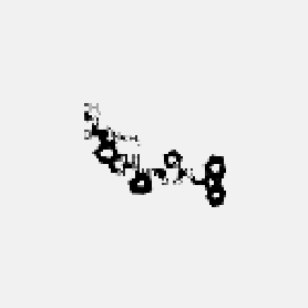 CCOC(=O)c1nn(C)c2c1CCc1cnc(Nc3ccccc3NC(=O)[C@@H]3CCCN3C(=O)OCC3c4ccccc4-c4ccccc43)nc1-2